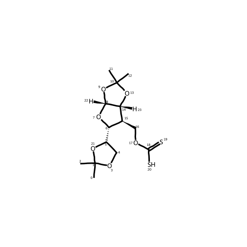 CC1(C)OCC([C@@H]2O[C@@H]3OC(C)(C)O[C@@H]3[C@H]2COC(=S)S)O1